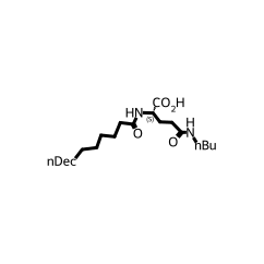 CCCCCCCCCCCCCCCC(=O)N[C@@H](CCC(=O)NCCCC)C(=O)O